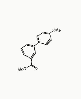 COC(=O)c1cccc(-c2ccc(OC)cn2)c1